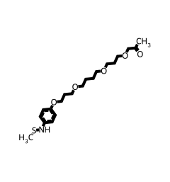 CSNc1ccc(OCCCOCCCCOCCCOCC(C)=O)cc1